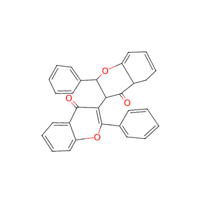 O=C1C2CC=CC=C2OC(c2ccccc2)C1c1c(-c2ccccc2)oc2ccccc2c1=O